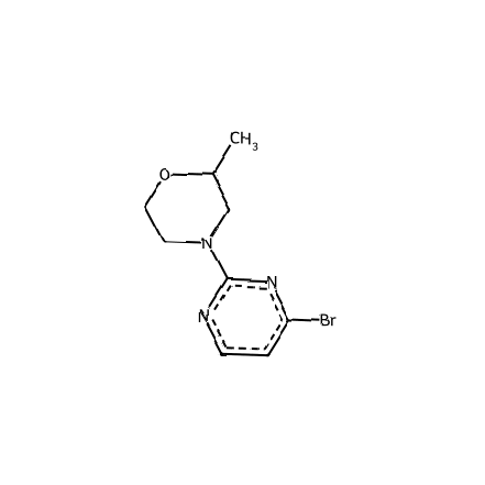 CC1CN(c2nccc(Br)n2)CCO1